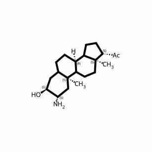 CC(=O)[C@H]1CCC2[C@@H]3CCC4C[C@H](O)[C@@H](N)C[C@]4(C)C3CC[C@@]21C